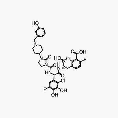 O=C(O)c1c(F)ccc2c1OB(O)[C@@H](NC(=O)C(NC(=O)N1CCN(C3CCN(Cc4cccc(O)c4)CC3)C1=O)c1cc(F)c(O)c(O)c1Cl)C2